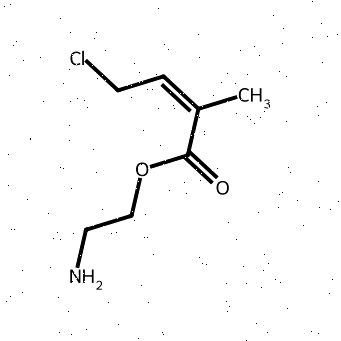 CC(=CCCl)C(=O)OCCN